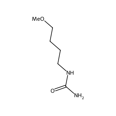 COCCCCNC(N)=O